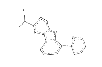 CC(C)c1ccc2oc3c(-c4ccccn4)cccc3c2n1